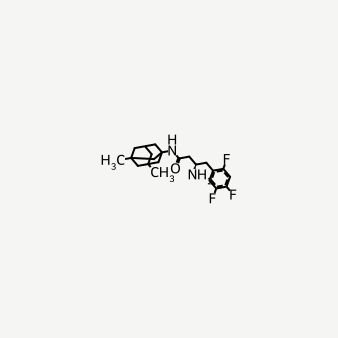 CC12CC3CC(C)(C1)CC(NC(=O)C[C@H](N)Cc1cc(F)c(F)cc1F)(C3)C2